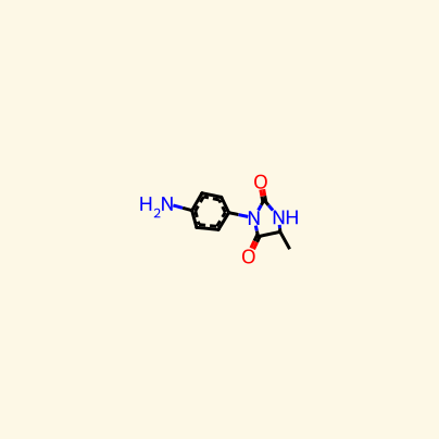 CC1NC(=O)N(c2ccc(N)cc2)C1=O